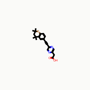 CC1(C)CC(C)(C)c2cc(C#Cc3cnc(CC(=O)O)cn3)ccc2S1